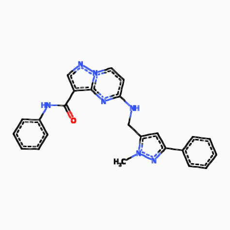 Cn1nc(-c2ccccc2)cc1CNc1ccn2ncc(C(=O)Nc3ccccc3)c2n1